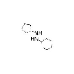 C1CCC(NNC2CCCC2)CC1